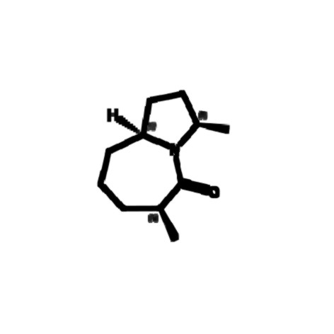 C[C@@H]1CC[C@@H]2CCC[C@H](C)C(=O)N21